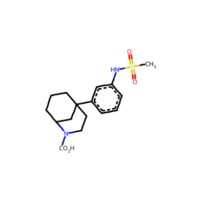 CS(=O)(=O)Nc1cccc(C23CCCC(C2)N(C(=O)O)CC3)c1